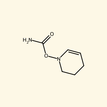 NC(=O)ON1C=CCCC1